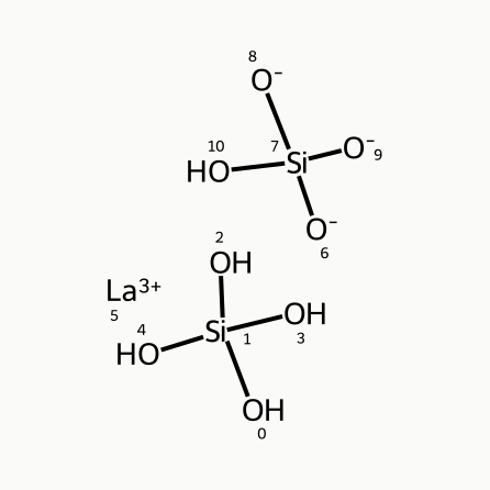 O[Si](O)(O)O.[La+3].[O-][Si]([O-])([O-])O